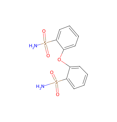 NS(=O)(=O)c1ccccc1Oc1ccccc1S(N)(=O)=O